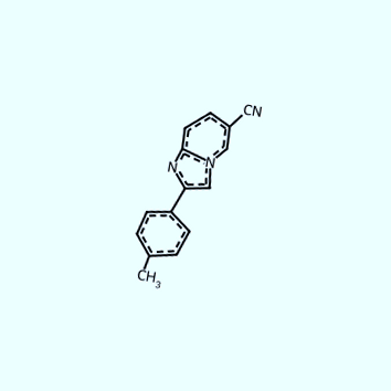 Cc1ccc(-c2cn3cc(C#N)ccc3n2)cc1